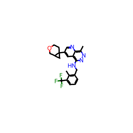 Cc1c(CNc2nnc(C)c3ncc(C45CCOCC4C5)cc23)cccc1C(F)(F)F